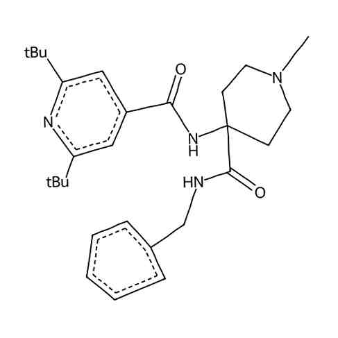 CN1CCC(NC(=O)c2cc(C(C)(C)C)nc(C(C)(C)C)c2)(C(=O)NCc2ccccc2)CC1